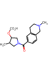 CC1CN(C(=O)c2ccc3c(c2)CCN(C)C3)CC1OC(=O)O